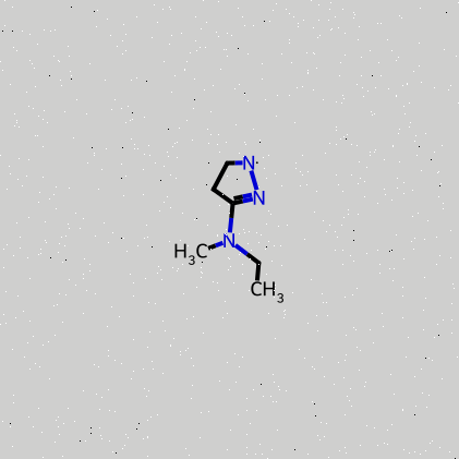 CCN(C)C1=N[N]CC1